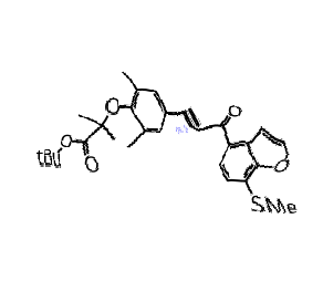 CSc1ccc(C(=O)/C=C/c2cc(C)c(OC(C)(C)C(=O)OC(C)(C)C)c(C)c2)c2ccoc12